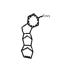 O=Cc1ccc2c(c1)C1C(C2)C2CC1C1C3C=CC(C3)C21